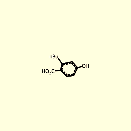 CCCCc1cc(O)ccc1C(=O)O